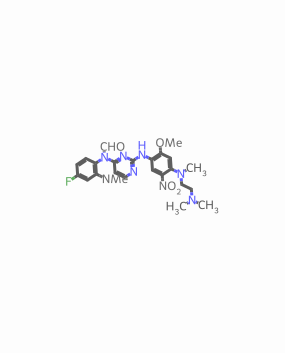 CNc1cc(F)ccc1N(C=O)c1ccnc(Nc2cc([N+](=O)[O-])c(N(C)CCN(C)C)cc2OC)n1